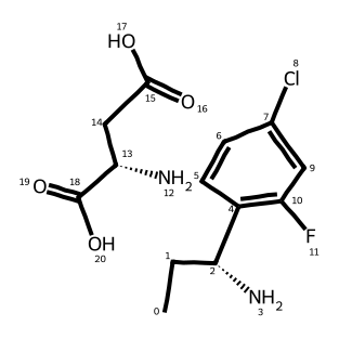 CC[C@@H](N)c1ccc(Cl)cc1F.N[C@@H](CC(=O)O)C(=O)O